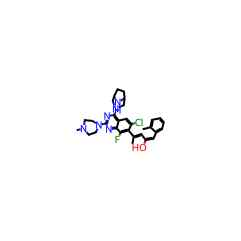 C/C(=C\C(O)=C/c1ccccc1C)c1c(Cl)cc2c(N3CC4CCC(C3)N4)nc(N3CCN(C)CC3)nc2c1F